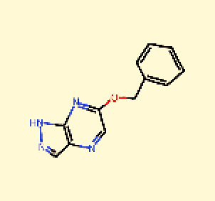 c1ccc(COc2cnc3cn[nH]c3n2)cc1